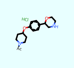 CC(=O)N1CCC(Oc2ccc(C3CNCCO3)cc2)CC1.Cl